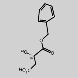 O=C(O)C[C@H](O)C(=O)OCc1ccccc1